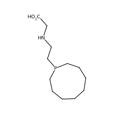 O=C(O)CNCCP1CCCCCCCC1